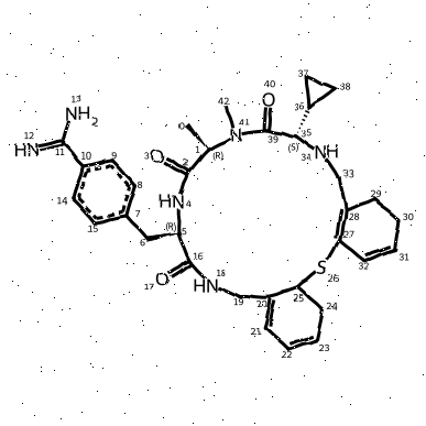 C[C@@H]1C(=O)N[C@H](Cc2ccc(C(=N)N)cc2)C(=O)NCC2=CC=CCC2SC2=C(CCC=C2)CN[C@@H](C2CC2)C(=O)N1C